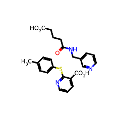 Cc1ccc(Sc2ncccc2C(=O)O)cc1.O=C(O)CCCC(=O)NCc1cccnc1